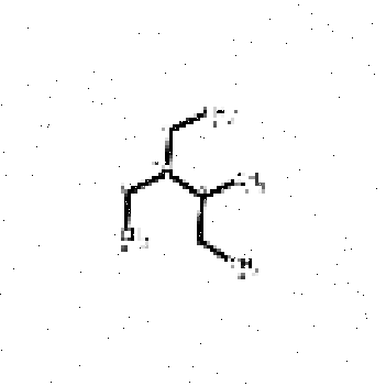 [CH2]CN(C[CH2])C(C)CC